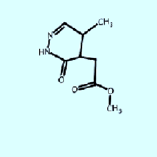 COC(=O)CC1C(=O)NN=CC1C